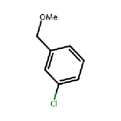 COCc1[c]ccc(Cl)c1